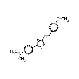 COc1ccc(/C=C/c2cnc(-c3ccc(N(C)C)cc3)s2)cc1